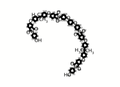 CC(C)(c1ccc(Oc2ccc3c(c2)C(=O)N(c2ccc(O)cc2)C3=O)cc1)c1ccc(Oc2ccc3c(c2)C(=O)N(c2ccc(Oc4cccc(Oc5ccc(N6C(=O)c7ccc(Oc8ccc(C(C)(C)c9ccc(Oc%10ccc%11c(c%10)C(=O)N(c%10ccc(O)cc%10)C%11=O)cc9)cc8)cc7C6=O)cc5)c4)cc2)C3=O)cc1